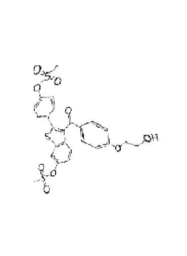 CS(=O)(=O)Oc1ccc(-c2sc3cc(OS(C)(=O)=O)ccc3c2C(=O)c2ccc(OCCO)cc2)cc1